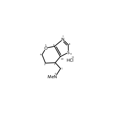 CNCC1CCOc2ncsc21.Cl